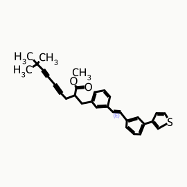 COC(=O)C(CC#CC#CC(C)(C)C)Cc1cccc(/C=C/c2cccc(-c3ccsc3)c2)c1